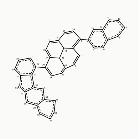 C1=CC2=C(c3ccc4ccccc4c3)C=CC3=CC=C4C(c5cccc6oc7cc8ccccc8cc7c56)=CC=C1C4C32